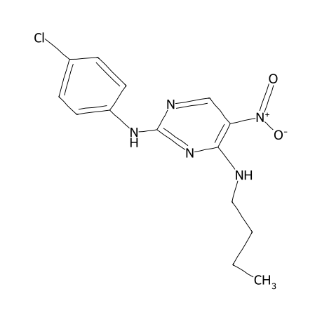 CCCCNc1nc(Nc2ccc(Cl)cc2)ncc1[N+](=O)[O-]